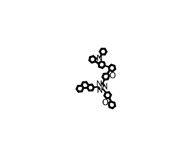 c1ccc(-n2c3ccccc3c3ccc(-c4cccc5oc6cc(-c7nc(-c8ccc9c(ccc%10ccccc%109)c8)nc(-c8ccc9c(c8)oc8ccccc89)n7)ccc6c45)cc32)cc1